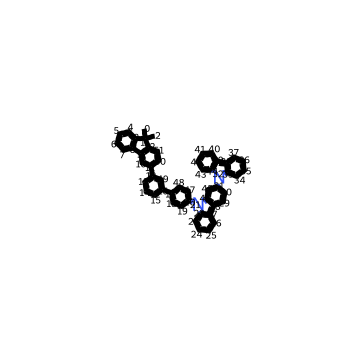 CC1(C)c2ccccc2-c2cc(-c3cccc(-c4ccc(-n5c6ccccc6c6ccc(-n7c8ccccc8c8ccccc87)cc65)cc4)c3)ccc21